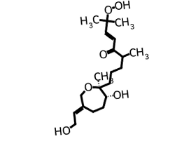 CC(CCC[C@]1(C)OC/C(=C/CO)CC[C@H]1O)C(=O)/C=C/C(C)(C)OO